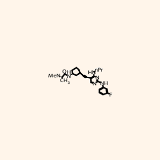 CCCNc1nc(Nc2cccc(F)c2)ncc1C#CC1CCC[C@H](NC(=O)[C@H](C)NC)C1